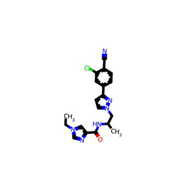 CCn1cnc(C(=O)NC(C)Cn2ccc(-c3ccc(C#N)c(Cl)c3)n2)c1